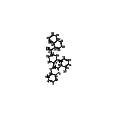 Cc1cccnc1CN(Cc1ncccc1C)C1CCN(C(=O)c2cccc3cccnc23)CC1